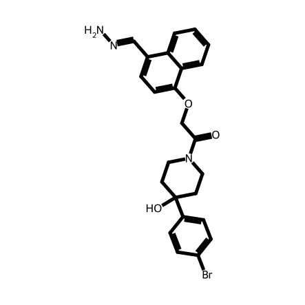 NN=Cc1ccc(OCC(=O)N2CCC(O)(c3ccc(Br)cc3)CC2)c2ccccc12